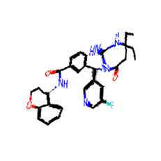 CCC1(CC)CC(=O)N([C@H](c2cncc(F)c2)c2cccc(C(=O)N[C@H]3CCOc4ccccc43)c2)C(=N)N1